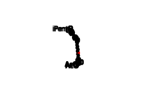 CCCC(C)OC(=O)c1ccc(-c2ccc(OCCCCCCCCCCCCOC(=O)C(C)(COC(C)=O)COC(C)=O)cc2)cc1